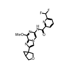 COc1nc(NC(=O)c2cccc(C(F)F)n2)cn2cc(C34COCC3C4)nc12